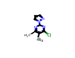 CCC(C)c1c(C)nc(-n2cccn2)nc1Cl